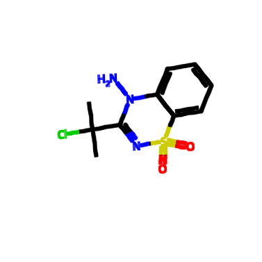 CC(C)(Cl)C1=NS(=O)(=O)c2ccccc2N1N